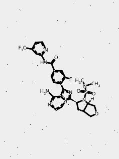 CN(C)S(=O)(=O)N1[C@@H]2COCC2C[C@H]1c1nc(-c2ccc(C(=O)Nc3cc(C(F)(F)F)ccn3)cc2F)c2c(N)nccn12